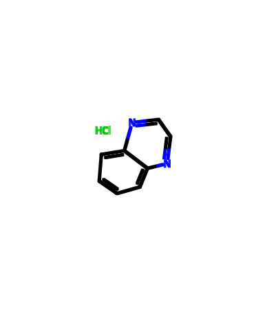 Cl.c1ccc2nccnc2c1